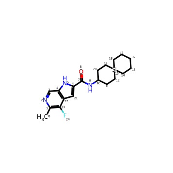 Cc1ncc2[nH]c(C(=O)NC3CC[Si]4(CCCCC4)CC3)cc2c1F